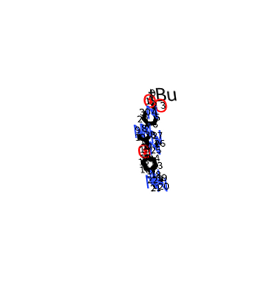 CC(C)(C)OC(=O)N1CCC(n2ncc3c(Oc4ccc(-n5cncn5)cc4)ncnc32)CC1